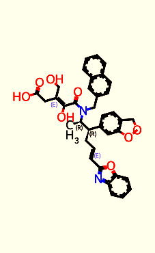 C[C@H]([C@H](C/C=C/c1nc2ccccc2o1)c1ccc2c(c1)OOC2)N(Cc1ccc2ccccc2c1)C(=O)/C(O)=C(\CO)CC(=O)O